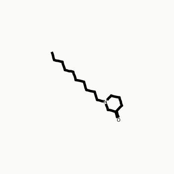 CCCCCCCCCCN1CCCC(=O)C1